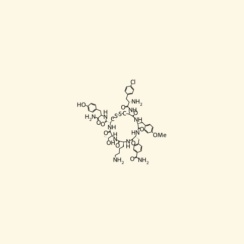 COc1ccc(C[C@@H]2NC(=O)[C@H](NC(=O)[C@@H](N)Cc3ccc(Cl)cc3)CSSC[C@@H](C(=O)NC(Cc3ccc(O)cc3)C(N)=O)NC(=O)[C@H]([C@@H](C)O)NC(=O)[C@H](CCCCN)NC(=O)[C@@H](Cc3ccc(C(N)=O)cc3)NC2=O)cc1